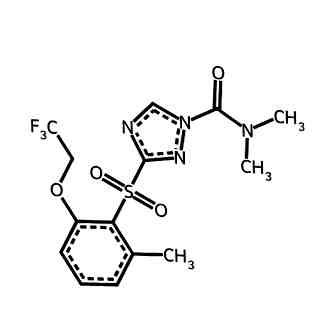 Cc1cccc(OCC(F)(F)F)c1S(=O)(=O)c1ncn(C(=O)N(C)C)n1